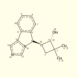 CC1(C)C[C@@H](C2c3ccccc3-c3cncn32)[C@@H]1O